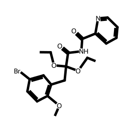 CCOC(Cc1cc(Br)ccc1OC)(OCC)C(=O)NC(=O)c1ccccn1